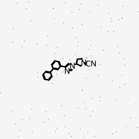 N#CN1CCC(n2cnc(-c3cccc(-c4ccccc4)c3)c2)C1